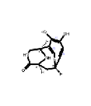 O=C1NC[C@@H]2N[C@H]1C[C@H]1\C=C/C(O)=C(O)\C2=C\C1